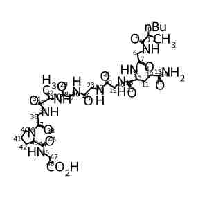 CCCCC(C)C(=O)NCC(=O)NC(CCC(N)=O)C(=O)NCC(=O)NCC(=O)NCC(=O)NC(C)C(=O)NCC(=O)N1CCCC1C(=O)NCC(=O)O